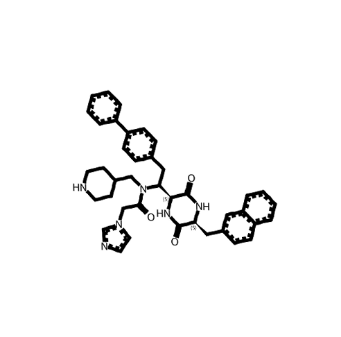 O=C1N[C@@H](C(Cc2ccc(-c3ccccc3)cc2)N(CC2CCNCC2)C(=O)Cn2ccnc2)C(=O)N[C@H]1Cc1ccc2ccccc2c1